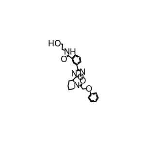 O=C(NCCO)c1cccc(-c2noc(C3CCCCN3C(=O)COc3ccccc3)n2)c1